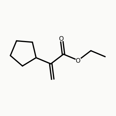 C=C(C(=O)OCC)C1CCCC1